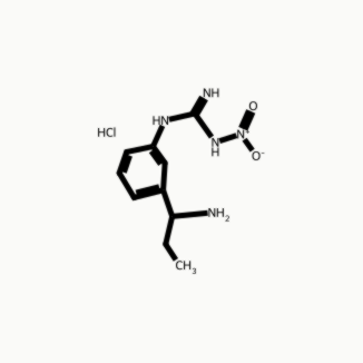 CCC(N)c1cccc(NC(=N)N[N+](=O)[O-])c1.Cl